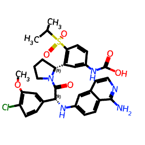 COc1cc([C@@H](Nc2ccc3c(N)nccc3c2)C(=O)N2CCC[C@@H]2c2cc(NC(=O)O)ccc2S(=O)(=O)C(C)C)ccc1Cl